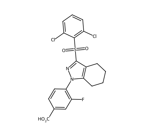 O=C(O)c1ccc(-n2nc(S(=O)(=O)c3c(Cl)cccc3Cl)c3c2CCCC3)c(F)c1